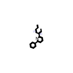 C=C/C=C\C(=C/C)c1cccc(-c2ccccc2)n1